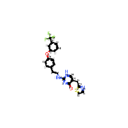 O=c1nc(NCCc2ccc(Oc3cccc(C(F)(F)F)c3)cc2)[nH]cc1Cc1nccs1